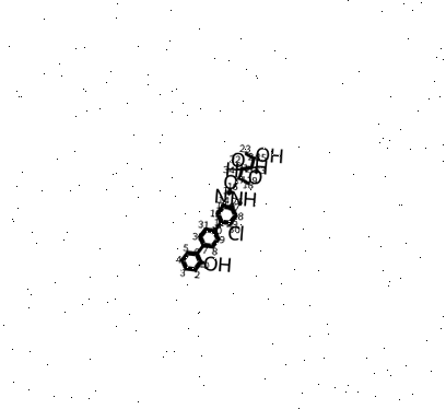 Oc1ccccc1-c1ccc(-c2cc3nc(O[C@@H]4CO[C@H]5[C@@H]4OC[C@H]5O)[nH]c3cc2Cl)cc1